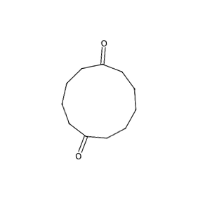 O=C1CCCCCC(=O)CCCC1